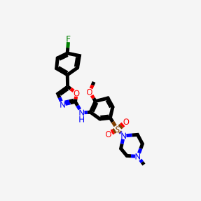 COc1ccc(S(=O)(=O)N2CCN(C)CC2)cc1Nc1ncc(-c2ccc(F)cc2)o1